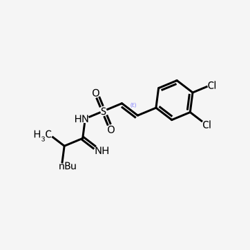 CCCCC(C)C(=N)NS(=O)(=O)/C=C/c1ccc(Cl)c(Cl)c1